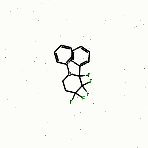 FC1(F)CCB(c2ccccc2)C(F)(c2ccccc2)C1(F)F